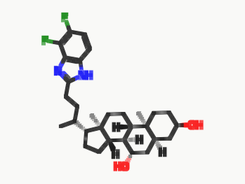 CC(CCc1nc2c(F)c(F)ccc2[nH]1)[C@H]1CC[C@H]2[C@@H]3[C@@H](O)C[C@@H]4C[C@H](O)CC[C@]4(C)[C@H]3CC[C@]12C